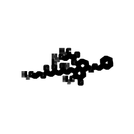 C=CCOC(=O)CC(O)CC(O)CCC1C(C)C(=O)C=C2C(=NOCc3ccccc3)CCC(OC(=O)C(C)CC)C21